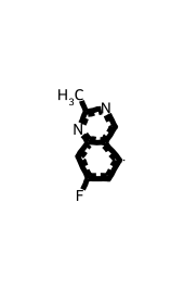 Cc1ncc2[c]cc(F)cc2n1